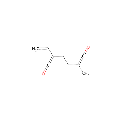 C=CC(=C=O)CCC(C)=C=O